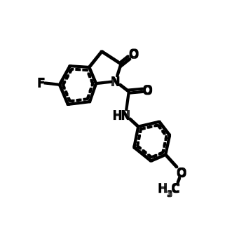 COc1ccc(NC(=O)N2C(=O)Cc3cc(F)ccc32)cc1